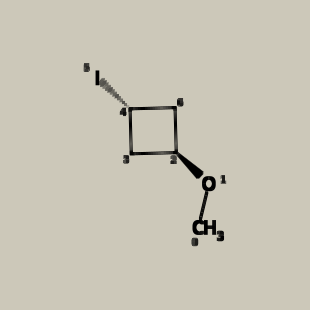 CO[C@H]1C[C@H](I)C1